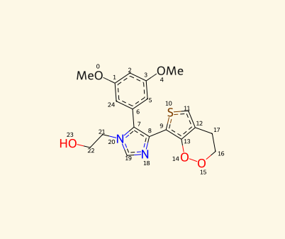 COc1cc(OC)cc(-c2c(-c3scc4c3OOCC4)ncn2CCO)c1